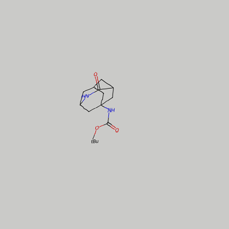 CC(C)(C)OC(=O)NC12CC3CC(C1)NC(=O)C(C3)C2